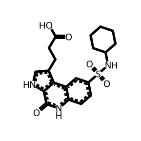 O=C(O)CCc1c[nH]c2c(=O)[nH]c3ccc(S(=O)(=O)NC4CCCCC4)cc3c12